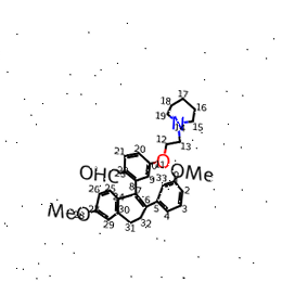 COc1cccc(C2=C(c3cc(OCCN4CCCCC4)ccc3C=O)c3ccc(OC)cc3CC2)c1